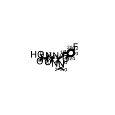 CC(C)N(C)c1nc2oc(C(=O)O)nc2nc1-c1cc2cc(F)ccc2o1